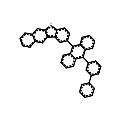 c1ccc(-c2cccc(-c3c4ccccc4c(-c4ccc5sc6cc7ccccc7cc6c5c4)c4ccccc34)c2)cc1